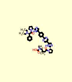 CCN(CC)[C@@H](C(=O)N1CCC[C@H]1c1ncc(-c2ccc(-c3ncc(-c4cnc([C@@H]5CCCN5C(=O)CC(C)CN(C)C(=O)O)[nH]4)cn3)cc2)[nH]1)c1ccccc1